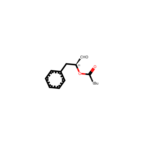 CC(C)(C)C(=O)O[C@H](C=O)Cc1ccccc1